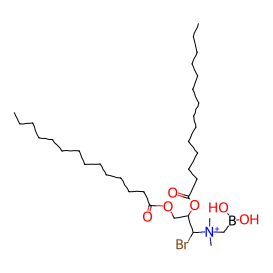 CCCCCCCCCCCCCC(=O)OCC(OC(=O)CCCCCCCCCCCCC)C(Br)[N+](C)(C)CB(O)O